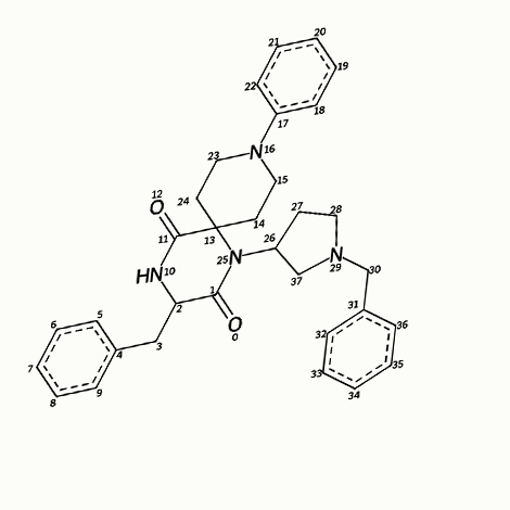 O=C1C(Cc2ccccc2)NC(=O)C2(CCN(c3ccccc3)CC2)N1C1CCN(Cc2ccccc2)C1